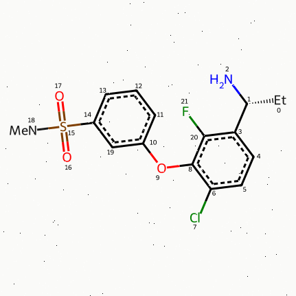 CC[C@@H](N)c1ccc(Cl)c(Oc2cccc(S(=O)(=O)NC)c2)c1F